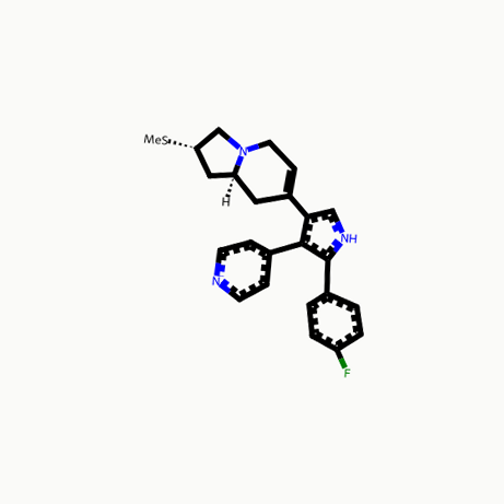 CS[C@H]1C[C@@H]2CC(c3c[nH]c(-c4ccc(F)cc4)c3-c3ccncc3)=CCN2C1